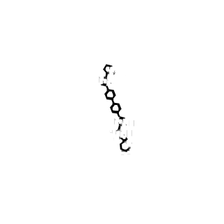 CC1(C(=O)N[C@H](c2nc(-c3ccc(-c4ccc(-c5c[nH]c(C6CCCN6C(=O)O)n5)cc4)cc3)c[nH]2)C(C)(C)C)CCC(F)(F)CO1